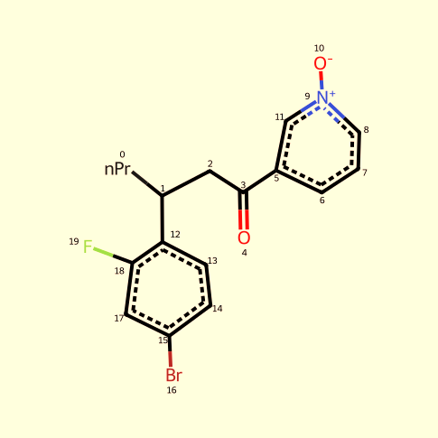 CCCC(CC(=O)c1ccc[n+]([O-])c1)c1ccc(Br)cc1F